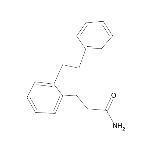 NC(=O)CCc1ccccc1CCc1ccccc1